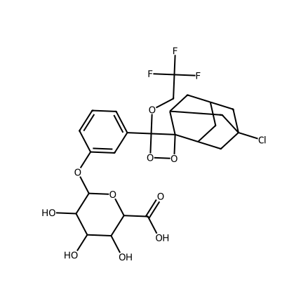 O=C(O)C1OC(Oc2cccc(C3(OCC(F)(F)F)OOC34C3CC5CC4CC(Cl)(C5)C3)c2)C(O)C(O)C1O